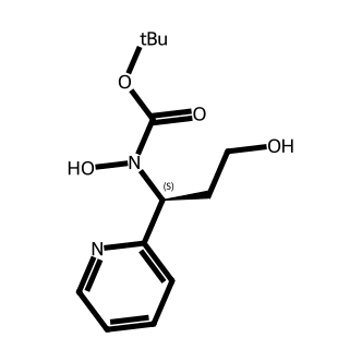 CC(C)(C)OC(=O)N(O)[C@@H](CCO)c1ccccn1